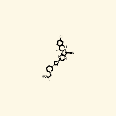 C[C@H](O)CN1CCC[C@H](C2CN(c3cnc4c(C#N)nn([C@H](C)c5ccc(Cl)cc5Cl)c4n3)C2)C1